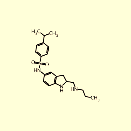 CCCNCC1Cc2cc(NS(=O)(=O)c3ccc(C(C)C)cc3)ccc2N1